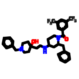 O=C(c1cc(C(F)(F)F)cc(C(F)(F)F)c1)N1CCC(NCCC2(O)CCN(Cc3ccccc3)CC2)CC1Cc1ccccc1